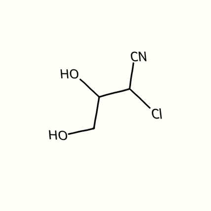 N#CC(Cl)C(O)CO